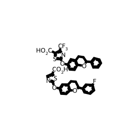 O=C(O)c1cnc(Oc2ccc3c(c2)CCC(c2cccc(F)c2)O3)s1.O=C(O)c1sc(Oc2ccc3c(c2)CCC(c2ccccc2)O3)nc1C(F)(F)F